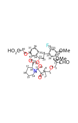 C=C(C=O)COCC(C)(C)C(=O)C(=O)N1CCCC[C@H]1C(=O)O[C@H](CCc1cc(OC)c(OC)cc1F)c1cccc(OCC(=O)O)c1